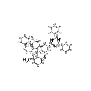 C=CC1=C(/C=C\C)c2c(ccc3sc4ccccc4c23)C12c1ccccc1Sc1cc(-c3nc(-c4ccccc4)nc(-c4ccccc4)n3)ccc12